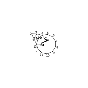 CC12CC1C13CCCCCCCCC2(C1)SS3